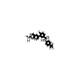 CNc1ncc2cc(-c3cc(C(=O)Nc4ccc(C(C)(C)C)cc4)ccc3C)cnc2n1